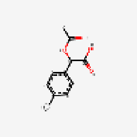 Bc1ccc(C(OC(C)=O)C(=O)O)cc1